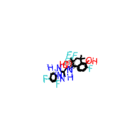 CC1(C)C[C@](O)(C(F)(F)F)[C@H](NC(=O)c2cnn(-c3ccc(F)cc3F)c2N)c2ccc(F)c(O)c21